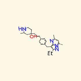 CCc1nn2c(C)cc(C)nc2c1Cc1ccc(/C=C/CC2(O)CCNC(C)C2)cc1